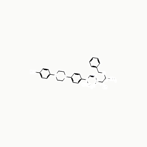 CC[C@@H]([C@H](C)OCc1ccccc1)N(C)/N=C\N(C=O)c1ccc(N2CCN(c3ccc(O)cc3)CC2)cc1